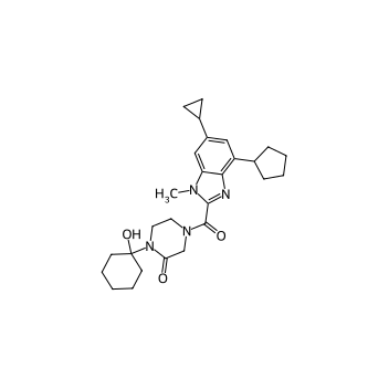 Cn1c(C(=O)N2CCN(C3(O)CCCCC3)C(=O)C2)nc2c(C3CCCC3)cc(C3CC3)cc21